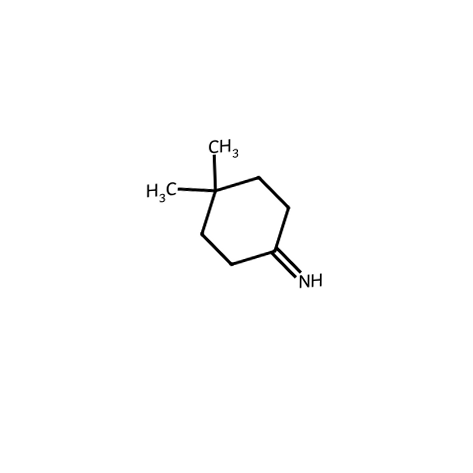 CC1(C)CCC(=N)CC1